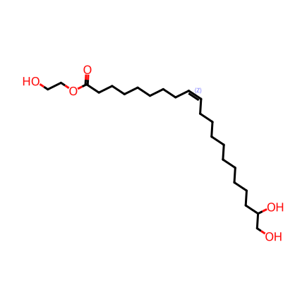 O=C(CCCCCCC/C=C\CCCCCCCCCC(O)CO)OCCO